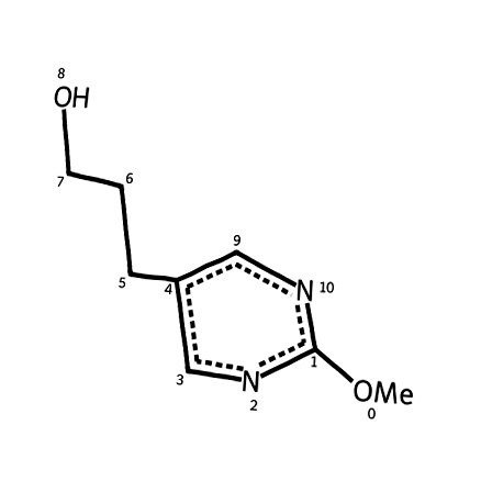 COc1ncc(CCCO)cn1